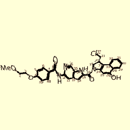 COCCOc1ccc(C(=O)Nc2cc3cc(C(=O)N4C[C@@H](CCl)c5c4cc(O)c4ccccc54)[nH]c3cn2)cc1